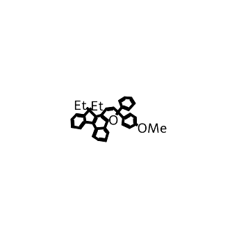 CCC1(CC)c2ccccc2-c2c1c1c(c3ccccc23)OC(c2ccccc2)(c2ccc(OC)cc2)C=C1